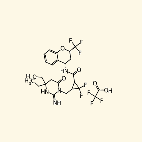 CCC1(CC)CC(=O)N(CC2C(C(=O)N[C@H]3C[C@H](C(F)(F)F)Oc4ccccc43)C2(F)F)C(=N)N1.O=C(O)C(F)(F)F